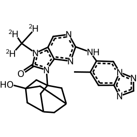 [2H]C([2H])([2H])n1c(=O)n(C23CC4CC(CC(O)(C4)C2)C3)c2nc(Nc3cn4ncnc4cc3C)ncc21